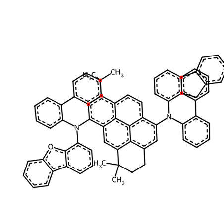 CC(C)c1cc(N(c2ccccc2-c2ccccc2)c2cccc3c2oc2ccccc23)c2cc3c4c(cc(N(c5ccccc5-c5ccccc5)c5cccc6c5Cc5ccccc5-6)c5ccc1c2c54)CCC3(C)C